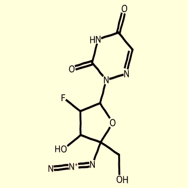 [N-]=[N+]=NC1(CO)OC(n2ncc(=O)[nH]c2=O)C(F)C1O